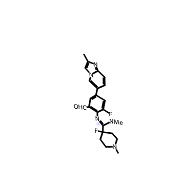 CN/C(=N\c1c(F)cc(-c2ccc3nc(C)cn3c2)cc1C=O)C1(F)CCN(C)CC1